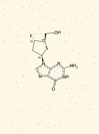 Nc1nc2c(ncn2[C@H]2C[C@H](F)[C@@H](CO)S2)c(=O)[nH]1